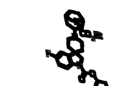 CCOC(=O)N1CC2CCC1CC(N1CCC3(CC1)CN(C(=O)O[C@H]1CCOC1)c1ccc(F)cc13)C2